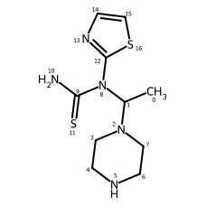 CC(N1CCNCC1)N(C(N)=S)c1nccs1